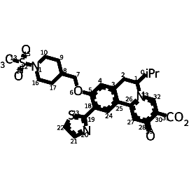 CC(C)C1Cc2cc(OCC3CCN(S(C)(=O)=O)CC3)c(-c3nccs3)cc2-c2cc(=O)c(C(=O)O)cn21